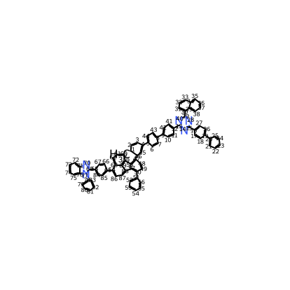 CC1C=CC(c2ccc(-c3ccc(-c4nc(-c5ccc(-c6ccccc6)cc5)nc(-c5cccc6ccccc56)n4)cc3)cc2)=CC1c1ccc(-c2ccccc2)c2c1-c1cccc3c(-c4ccc(-c5nc6ccccc6n5-c5ccccc5)cc4)ccc-2c13